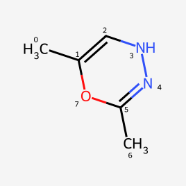 CC1=CNN=C(C)O1